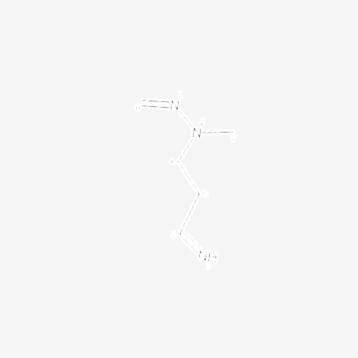 C=NN(C)CCC=N